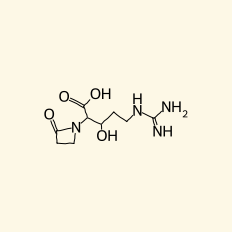 N=C(N)NCCC(O)C(C(=O)O)N1CCC1=O